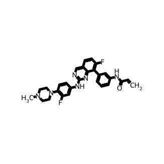 C=CC(=O)Nc1cccc(-c2c(F)ccc3cnc(Nc4ccc(N5CCN(C)CC5)c(F)c4)nc23)c1